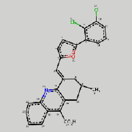 CC1C/C(=C\c2ccc(-c3cccc(Cl)c3Cl)o2)c2nc3ccccc3c(C(=O)O)c2C1